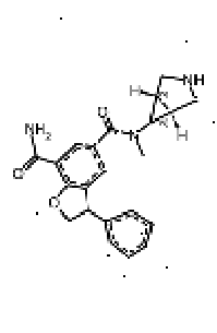 CN(C(=O)c1cc(C(N)=O)c2c(c1)C(c1ccccc1)CO2)C1[C@H]2CNC[C@@H]12